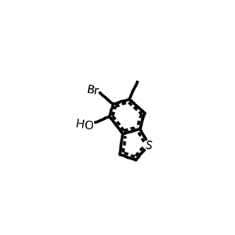 Cc1cc2sccc2c(O)c1Br